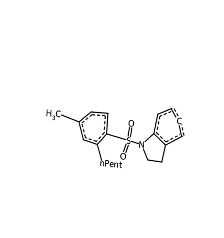 CCCCCc1cc(C)ccc1S(=O)(=O)N1CCc2ccccc21